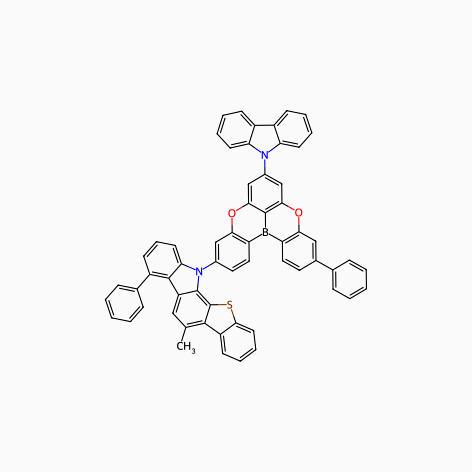 Cc1cc2c3c(-c4ccccc4)cccc3n(-c3ccc4c(c3)Oc3cc(-n5c6ccccc6c6ccccc65)cc5c3B4c3ccc(-c4ccccc4)cc3O5)c2c2sc3ccccc3c12